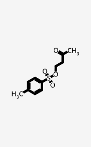 CC(=O)CCOS(=O)(=O)c1ccc(C)cc1